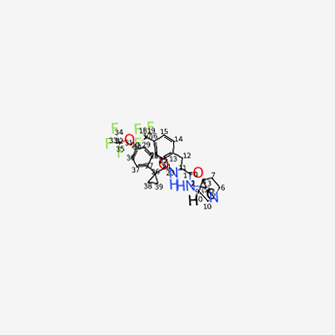 O=C(N[C@@H]1CN2CCC1CC2)C(Cc1ccc(C(F)(F)F)cc1)NC(=O)C1(c2ccc(OC(F)(F)F)cc2)CC1